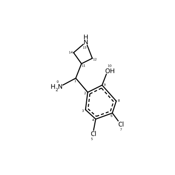 NC(c1cc(Cl)c(Cl)cc1O)C1CNC1